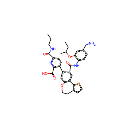 CCCNC(=O)c1ccc(-c2cc3c(cc2C(=O)Nc2ccc(CN)cc2OC(C)CC)-c2sccc2CCO3)c(C(=O)O)n1